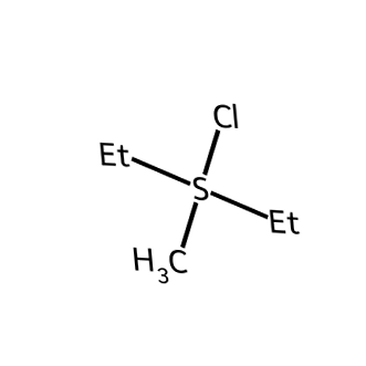 CCS(C)(Cl)CC